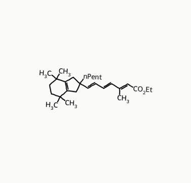 CCCCCC1(/C=C/C=C/C(C)=C/C(=O)OCC)CC2=C(C1)C(C)(C)CCC2(C)C